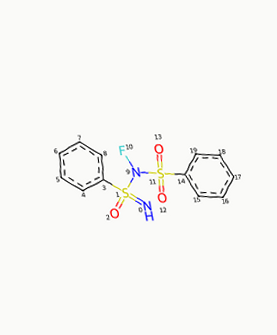 N=S(=O)(c1ccccc1)N(F)S(=O)(=O)c1ccccc1